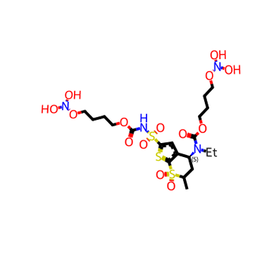 CCN(C(=O)OCCCCON(O)O)[C@H]1CC(C)S(=O)(=O)c2sc(S(=O)(=O)NC(=O)OCCCCON(O)O)cc21